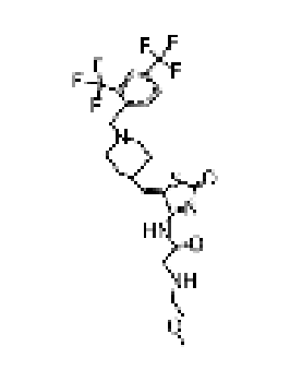 COCCNCC(=O)NC1=NC(=O)S/C1=C\C1CCN(Cc2ccc(C(F)(F)F)cc2C(F)(F)F)CC1